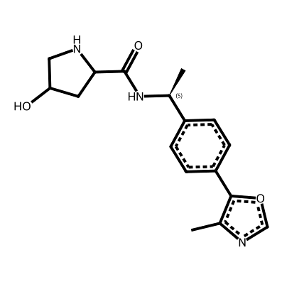 Cc1ncoc1-c1ccc([C@H](C)NC(=O)C2CC(O)CN2)cc1